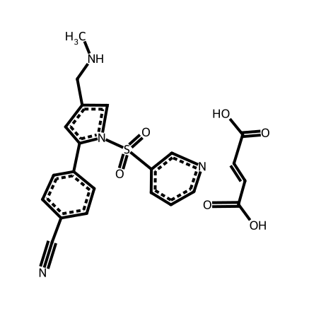 CNCc1cc(-c2ccc(C#N)cc2)n(S(=O)(=O)c2cccnc2)c1.O=C(O)C=CC(=O)O